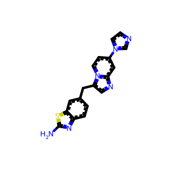 Nc1nc2ccc(Cc3cnc4cc(-n5ccnc5)ccn34)cc2s1